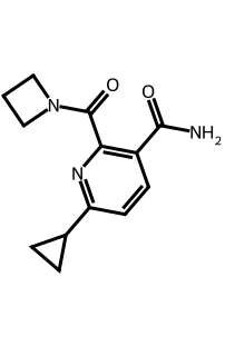 NC(=O)c1ccc(C2CC2)nc1C(=O)N1CCC1